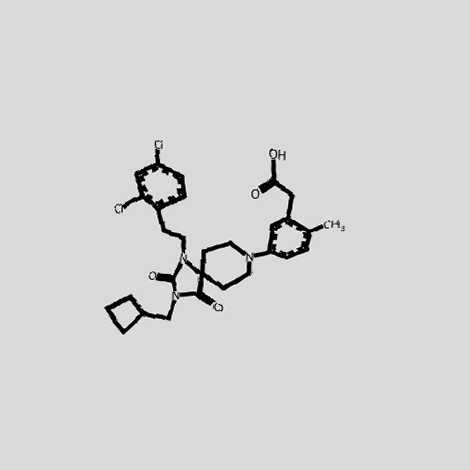 Cc1ccc(N2CCC3(CC2)C(=O)N(CC2CCC2)C(=O)N3CCc2ccc(Cl)cc2Cl)cc1CC(=O)O